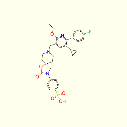 CCOc1nc(-c2ccc(F)cc2)c(C2CC2)cc1CN1CCC2(CC1)CN(c1ccc(S(=O)(=O)O)cc1)C(=O)O2